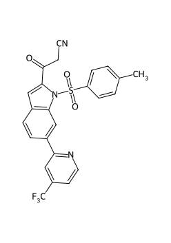 Cc1ccc(S(=O)(=O)n2c(C(=O)CC#N)cc3ccc(-c4cc(C(F)(F)F)ccn4)cc32)cc1